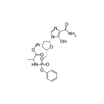 CC(C)OC(=O)C(C)NP(=O)(OC[C@@H]1CC[C@H](n2cnc(C(N)=O)c2O)O1)Oc1ccccc1